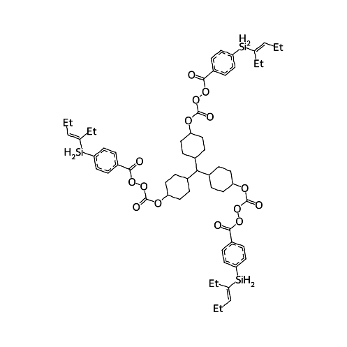 CC/C=C(\CC)[SiH2]c1ccc(C(=O)OOC(=O)OC2CCC(C(C3CCC(OC(=O)OOC(=O)c4ccc([SiH2]/C(=C/CC)CC)cc4)CC3)C3CCC(OC(=O)OOC(=O)c4ccc([SiH2]/C(=C/CC)CC)cc4)CC3)CC2)cc1